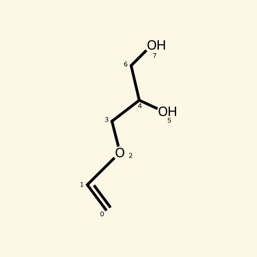 C=COCC(O)CO